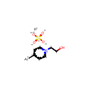 CC(=O)c1cc[n+](CCO)cc1.O=S(=O)([O-])[O-].[H+]